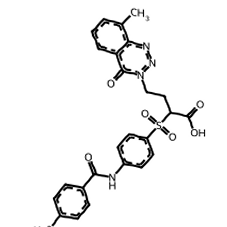 Cc1ccc(C(=O)Nc2ccc(S(=O)(=O)C(CCn3nnc4c(C)cccc4c3=O)C(=O)O)cc2)cc1